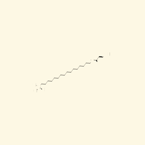 CC=CC(=O)OCCCCCCCCCCCCCCCC[Si](Cl)(Cl)Cl